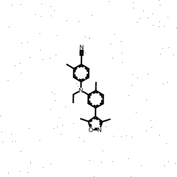 CCN(c1ccc(C#N)c(C)c1)c1cc(-c2c(C)noc2C)ccc1C